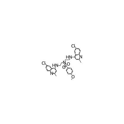 COc1ccc(S(=O)(=O)N(CCNc2cc(C)nc3ccc(Cl)cc23)CCNc2cc(C)nc3ccc(Cl)cc23)cc1